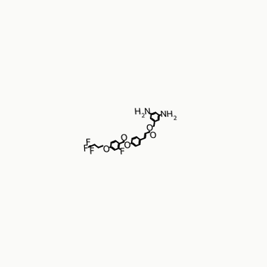 Nc1cc(N)cc(COC(=O)/C=C/c2ccc(OC(=O)c3ccc(OCCCC(F)(F)F)cc3F)cc2)c1